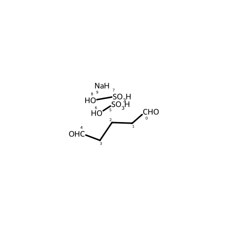 O=CCCCC=O.O=S(=O)(O)O.O=S(=O)(O)O.[NaH]